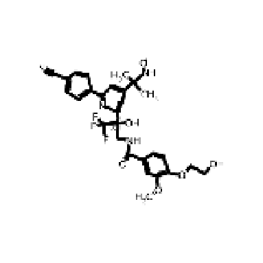 COc1cc(C(=O)NC[C@@](O)(c2cc(C(C)(C)NCl)cc(-c3ccc(C#N)cc3)n2)C(F)(F)F)ccc1OCCO